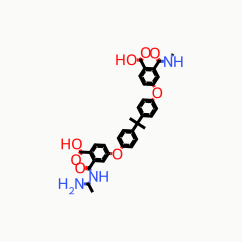 CNC(=O)c1cc(Oc2ccc(C(C)(C)c3ccc(Oc4ccc(C(=O)O)c(C(=O)NC(C)N)c4)cc3)cc2)ccc1C(=O)O